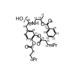 CC(C)CCC(=O)Oc1ccc(C[C@H](NCC(C)OC(=O)c2ccccc2)C(=O)O)cc1OC(=O)CCC(C)C